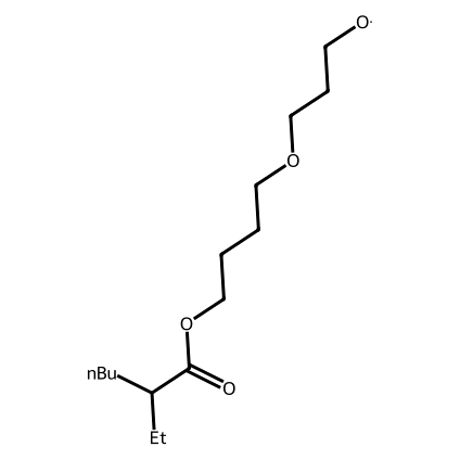 CCCCC(CC)C(=O)OCCCCOCCC[O]